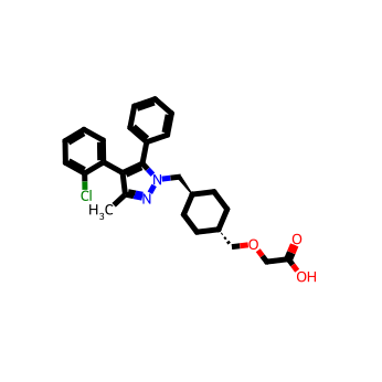 Cc1nn(C[C@H]2CC[C@H](COCC(=O)O)CC2)c(-c2ccccc2)c1-c1ccccc1Cl